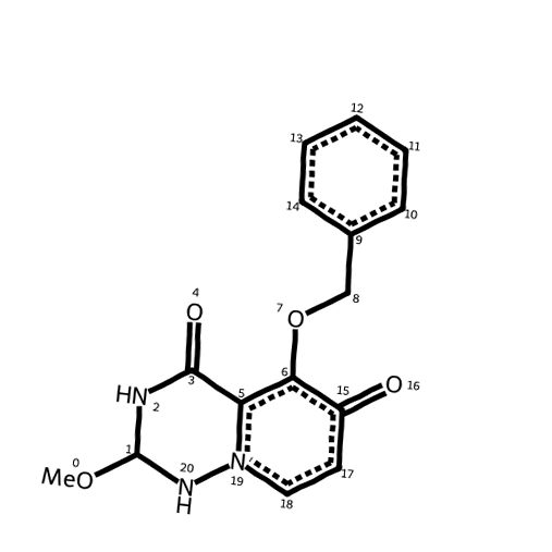 COC1NC(=O)c2c(OCc3ccccc3)c(=O)ccn2N1